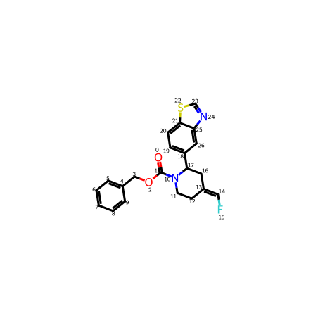 O=C(OCc1ccccc1)N1CCC(=CF)CC1c1ccc2scnc2c1